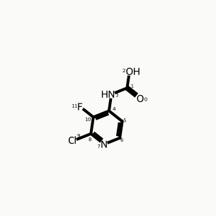 O=C(O)Nc1ccnc(Cl)c1F